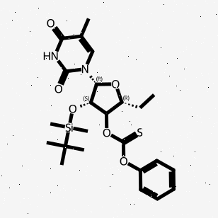 CC[C@H]1O[C@@H](n2cc(C)c(=O)[nH]c2=O)[C@@H](O[Si](C)(C)C(C)(C)C)C1OC(=S)Oc1ccccc1